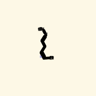 CC/C=C\CC=NC(C)(C)C